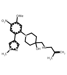 C=C(C)CNCC1(O)CCN(c2cc(OC)c([N+](=O)[O-])cc2-c2cnn(C)c2)CC1